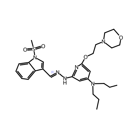 CCCN(CCC)c1cc(N/N=C/c2cn(S(C)(=O)=O)c3ccccc23)nc(OCCN2CCOCC2)c1